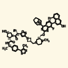 CCc1cccc2cc(O)cc(-c3ncc4c(N5CC6CCC(C5)N6)nc(OC[C@H]5CN(CC6CN(c7cc([C@H](C(=O)N8C[C@H](O)C[C@H]8C(=O)N[C@@H](C)c8ccc(-c9scnc9C)cc8)C(C)C)on7)C6)CCN5C)nc4c3F)c12